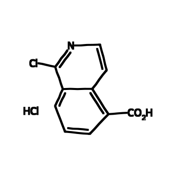 Cl.O=C(O)c1cccc2c(Cl)nccc12